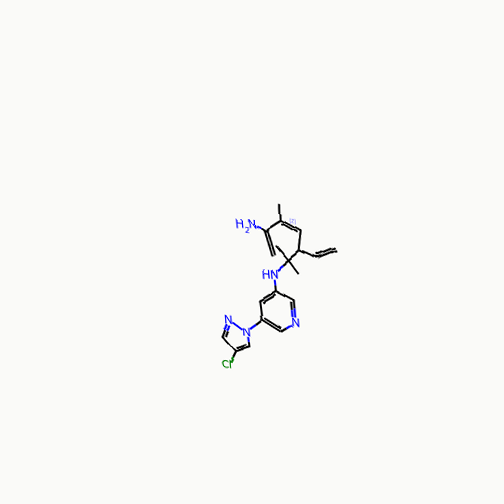 C=CC(/C=C(/C)C(=C)N)C(C)(C)Nc1cncc(-n2cc(Cl)cn2)c1